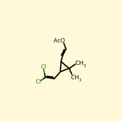 CC(=O)OC=CC1C(C=C(Cl)Cl)C1(C)C